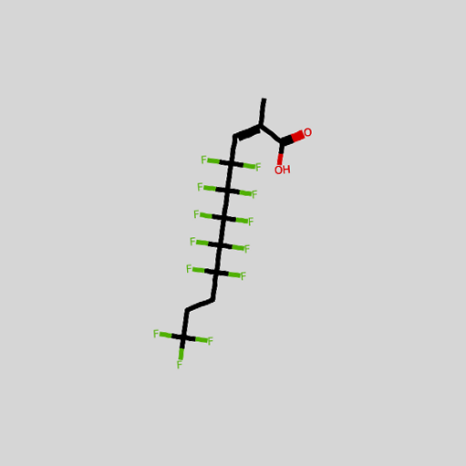 CC(=CC(F)(F)C(F)(F)C(F)(F)C(F)(F)C(F)(F)CCC(F)(F)F)C(=O)O